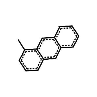 Cc1cccc2cc3ccc[c]c3cc12